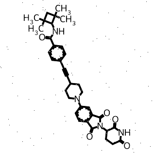 CC1(C)CC(C)(C)C1NC(=O)c1ccc(C#CC2CCN(c3ccc4c(c3)C(=O)N(C3CCC(=O)NC3=O)C4=O)CC2)cc1